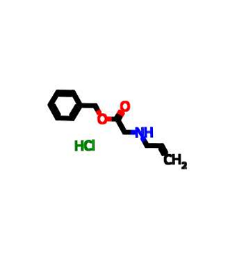 C=CCNCC(=O)OCc1ccccc1.Cl